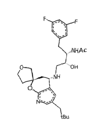 CC(=O)N[C@@H](Cc1cc(F)cc(F)c1)[C@H](O)CN[C@H]1C[C@]2(CCOC2)Oc2ncc(CC(C)(C)C)cc21